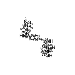 COC(=O)N[C@H](C(=O)N1C(C)CCC1c1nc(-c2ccc3cc(C#Cc4c[nH]c([C@@H]5C[C@H]6C[C@H]6N5C(=O)[C@@H](NC(=O)O)C(C)C)n4)ccc3c2)c[nH]1)C(C)C